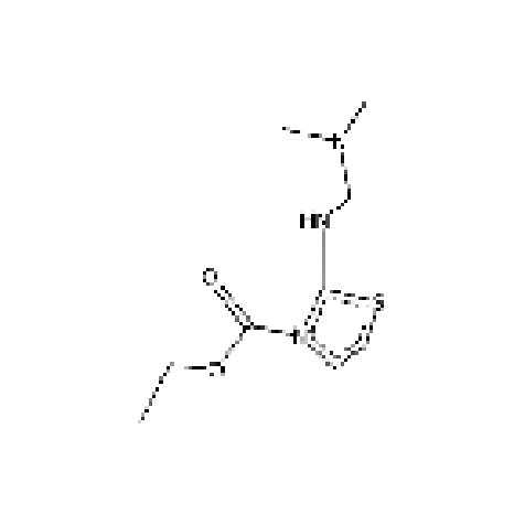 CCOC(=O)[n+]1ccsc1NCN(C)C